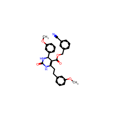 COc1cccc(CCC2=C(C(=O)OCc3cccc(C#N)c3)C(c3cccc(OC)c3)NC(=O)N2)c1